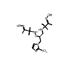 CC(=NO)C(C)(C)NC[C@@H](Cn1ccnc1[N+](=O)[O-])ONC(C)(C)C(C)=NO